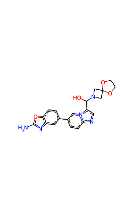 Nc1nc2cc(-c3ccc4ncc(C(O)N5CC6(C5)OCCO6)n4c3)ccc2o1